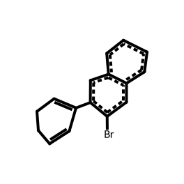 Brc1cc2ccccc2cc1C1=CCCC=C1